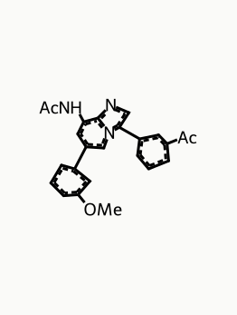 COc1cccc(-c2cc(NC(C)=O)c3ncc(-c4cccc(C(C)=O)c4)n3c2)c1